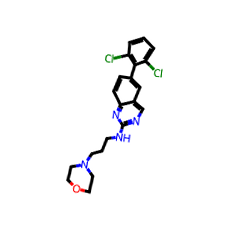 Clc1cccc(Cl)c1-c1ccc2nc(NCCCN3CCOCC3)ncc2c1